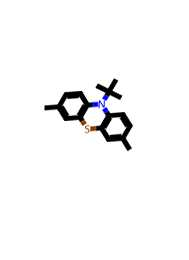 Cc1ccc2c(c1)Sc1cc(C)ccc1N2C(C)(C)C